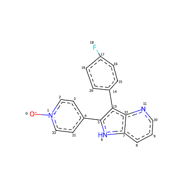 [O-][n+]1ccc(-c2[nH]c3cccnc3c2-c2ccc(F)cc2)cc1